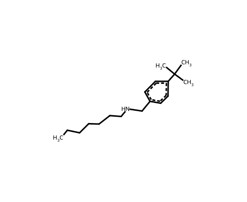 CCCCCCCNCc1ccc(C(C)(C)C)cc1